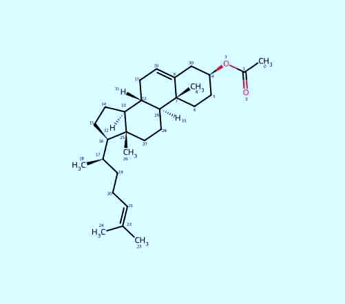 CC(=O)O[C@H]1CC[C@@]2(C)C(=CC[C@H]3[C@@H]4CC[C@H]([C@H](C)CCC=C(C)C)[C@@]4(C)CC[C@@H]32)C1